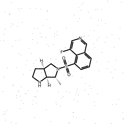 C[C@@H]1[C@H]2NCC[C@H]2CN1S(=O)(=O)c1cccc2cncc(F)c12